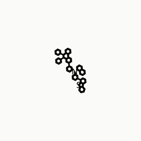 c1ccc(-c2c(-c3ccccc3)c3cc(-c4cccc(N(c5cccc(-c6cccc7c6sc6ccccc67)c5)c5cccc6ccccc56)c4)ccc3c3ccccc23)cc1